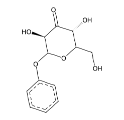 O=C1[C@H](O)C(CO)OC(Oc2ccccc2)[C@H]1O